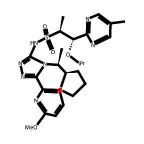 COc1cccc(-c2nnc(NS(=O)(=O)[C@@H](C)[C@@H](OC(C)C)c3ncc(C)cn3)n2[C@@H](C)[C@H]2CCCO2)n1